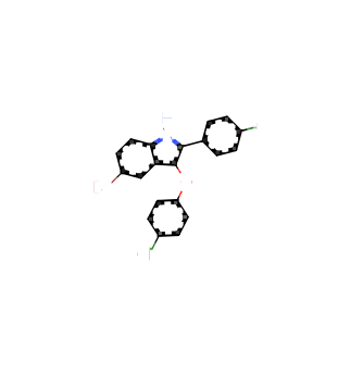 Clc1ccc(Oc2c(-c3ccc(Cl)cc3)[nH]c3ccc(Br)cc23)cc1